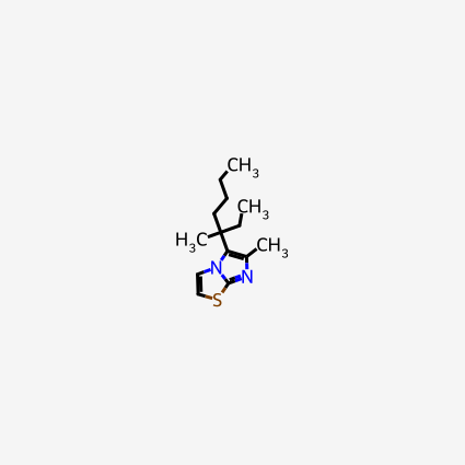 CCCCC(C)(CC)c1c(C)nc2sccn12